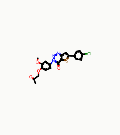 COc1cc(-n2nnc3cc(-c4ccc(Cl)cc4)sc3c2=O)ccc1OCC(C)=O